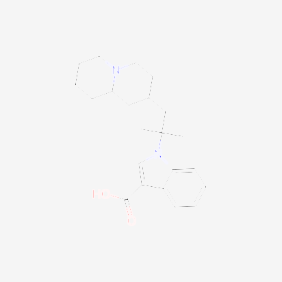 CC(C)(CC1CCN2CCCCC2C1)n1cc(C(=O)O)c2ccccc21